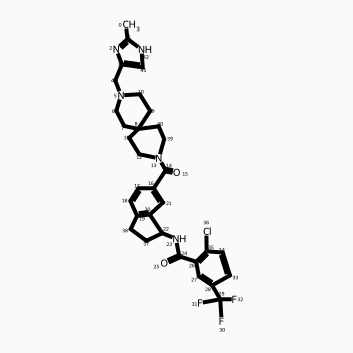 Cc1nc(CN2CCC3(CC2)CCN(C(=O)c2ccc4c(c2)C(NC(=O)c2cc(C(F)(F)F)ccc2Cl)CC4)CC3)c[nH]1